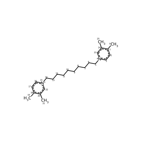 Cc1cc[n+](CCCCCCCCCC[n+]2ccc(C)c(C)c2)cc1C